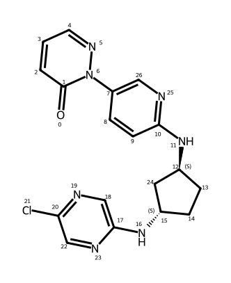 O=c1cccnn1-c1ccc(N[C@H]2CC[C@H](Nc3cnc(Cl)cn3)C2)nc1